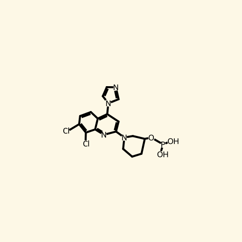 OP(O)OC1CCCN(c2cc(-n3ccnc3)c3ccc(Cl)c(Cl)c3n2)C1